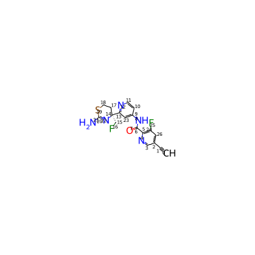 C#Cc1cnc(C(=O)Nc2ccnc([C@]3(CF)CCSC(N)=N3)c2)c(F)c1